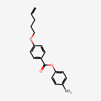 C=CCCCOc1ccc(C(=O)Oc2ccc([N+](=O)[O-])cc2)cc1